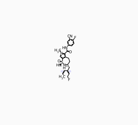 C/C=C\C(=C/CF)C[C@@H]1CCc2c(cn(C)c2C(=O)Nc2ccc(F)c(C#N)c2)S(=N)(=O)N1